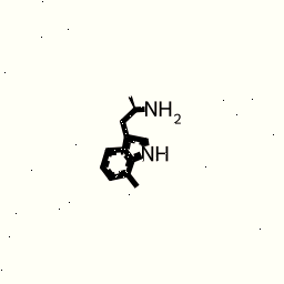 Cc1cccc2c(C[C@@H](C)N)c[nH]c12